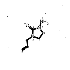 C=CCN1CCN(N)C1=O